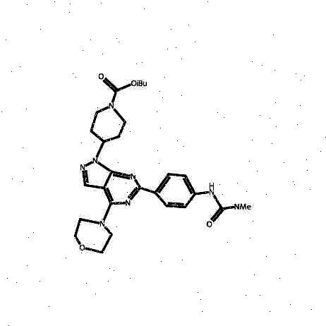 CNC(=O)Nc1ccc(-c2nc(N3CCOCC3)c3cnn(C4CCN(C(=O)OCC(C)C)CC4)c3n2)cc1